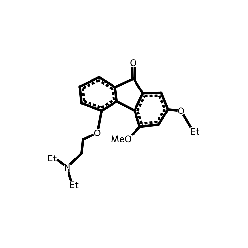 CCOc1cc(OC)c2c(c1)C(=O)c1cccc(OCCN(CC)CC)c1-2